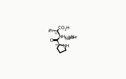 CC(C)[C@H](NC(=O)[C@@H]1CCCN1)C(=O)O.[Na].[Na].[Na]